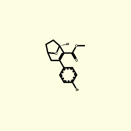 COC(=O)C1=C(c2ccc(Br)cc2)CC2CC[C@@H]1O2